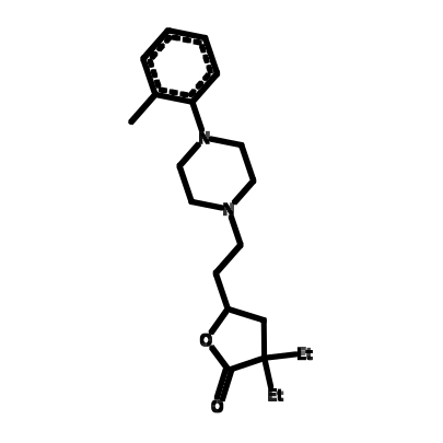 CCC1(CC)CC(CCN2CCN(c3ccccc3C)CC2)OC1=O